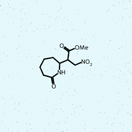 COC(=O)C(C[N+](=O)[O-])C1CCCCC(=O)N1